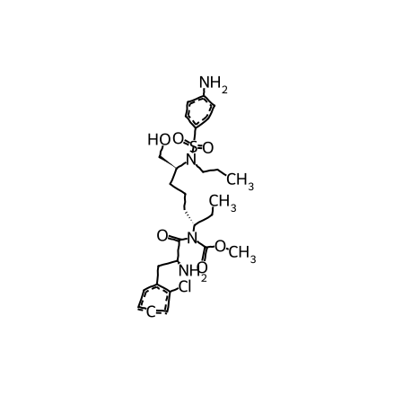 CCCN([C@H](CO)CCC[C@H](CC)N(C(=O)OC)C(=O)[C@@H](N)Cc1ccccc1Cl)S(=O)(=O)c1ccc(N)cc1